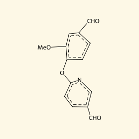 COc1cc(C=O)ccc1Oc1ccc(C=O)cn1